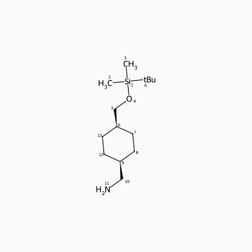 CC(C)(C)[Si](C)(C)OC[C@H]1CC[C@@H](CN)CC1